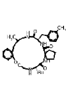 CCC(C)[C@@H]1NCCOc2ccccc2CC(C)CNC(=O)[C@@H](Cc2cccc(C)c2)NC(=O)C2(CCCC2)NC1=O